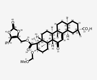 COCO[C@H]1CC[C@@]2(C)[C@@H](CC[C@]3(C)[C@@H]2C(=O)C=C2[C@@H]4C[C@@](C)(C(=O)O)CC[C@]4(C)CC[C@]23C)[C@]1(C)C(=O)OCc1oc(=O)oc1C(C)C